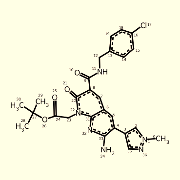 Cn1cc(-c2cc3cc(C(=O)NCc4ccc(Cl)cc4)c(=O)n(CC(=O)OC(C)(C)C)c3nc2N)cn1